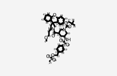 COCCCCC1(CNC(=O)C2CC(NS(=O)(=O)c3ccc(COS(C)(=O)=O)cc3)CN(C(=O)OC(C)(C)C)C2)c2ccccc2Oc2ccccc21